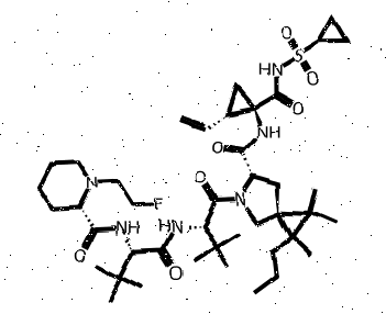 C=C[C@@H]1C[C@]1(NC(=O)[C@@H]1C[C@@]2(CN1C(=O)[C@@H](NC(=O)[C@@H](NC(=O)[C@@H]1CCCCN1CCF)C(C)(C)C)C(C)(C)C)C(C)(C)C2(C)CCC)C(=O)NS(=O)(=O)C1CC1